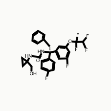 O=C(NC1(CO)CC1)N[C@](Cc1ccccc1)(c1ccc(F)cc1)c1cc(F)cc(OC(F)(F)C(F)F)c1